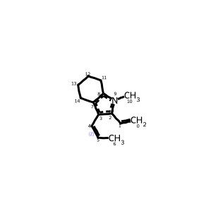 C=Cc1c(/C=C\C)c2c(n1C)CCCC2